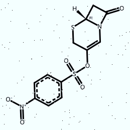 O=C1C[C@H]2SCC(OS(=O)(=O)c3ccc([N+](=O)[O-])cc3)=CN12